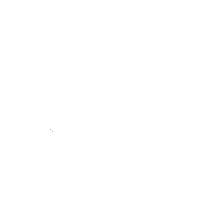 [C-]#[N+]c1ccc2c(ccc3c2ccc2c4ccccc4ccc23)c1